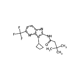 CC(C)(C)CC(=O)Nc1nc2ccc(C(F)(F)F)nc2n1C1CCC1